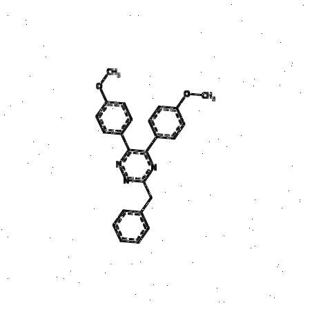 COc1ccc(-c2nnc(Cc3ccccc3)nc2-c2ccc(OC)cc2)cc1